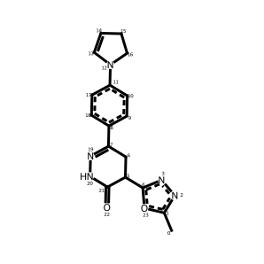 Cc1nnc(C2CC(c3ccc(N4C=CCC4)cc3)=NNC2=O)o1